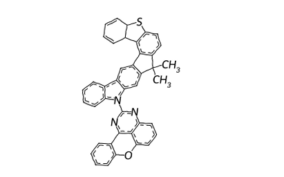 CC1(C)c2cc3c(cc2-c2c1ccc1c2C2C=CC=CC2S1)c1ccccc1n3-c1nc2c3c(cccc3n1)Oc1ccccc1-2